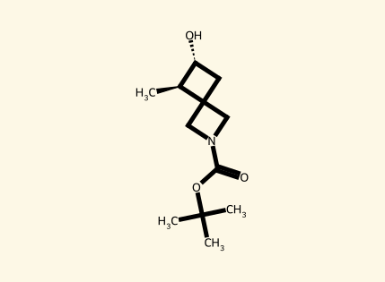 C[C@H]1[C@H](O)CC12CN(C(=O)OC(C)(C)C)C2